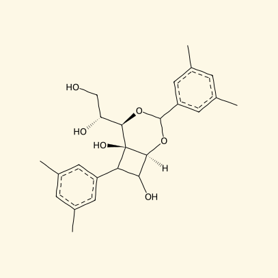 Cc1cc(C)cc(C2O[C@H]([C@H](O)CO)[C@@]3(O)C(c4cc(C)cc(C)c4)C(O)[C@@H]3O2)c1